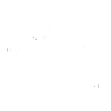 O=C(O)CN1CCCOP1(=O)c1ccc(Oc2ccc(C(F)(F)F)cc2)cc1